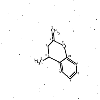 C=C1CC(C)c2ccccc2O1